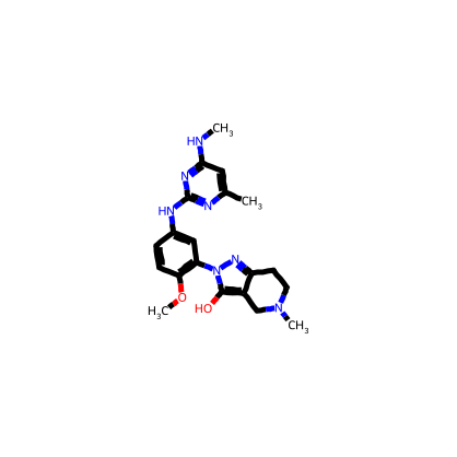 CNc1cc(C)nc(Nc2ccc(OC)c(-n3nc4c(c3O)CN(C)CC4)c2)n1